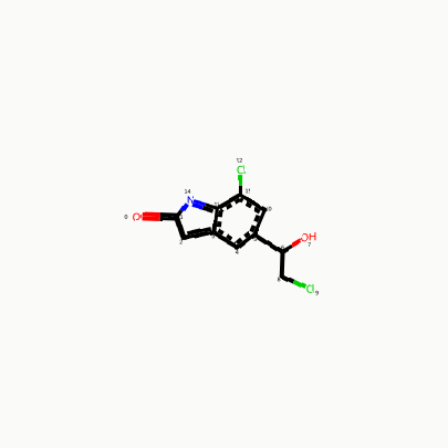 O=C1C=c2cc(C(O)CCl)cc(Cl)c2=N1